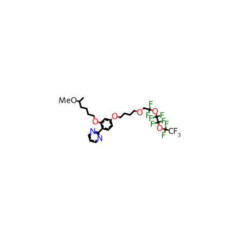 COC(C)CCCCOc1cc(OCCCCOCC(F)(F)OC(F)(F)C(F)(F)OC(F)(F)C(F)(F)F)ccc1-c1ncccn1